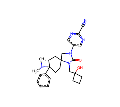 CN(C)C1(c2ccccc2)CCC2(CC1)CN(c1cnc(C#N)nc1)C(=O)N2CC1(O)CCC1